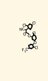 N#CC(C(=O)COc1cc(Oc2ccc(C(F)(F)F)cc2Cl)ccc1Cl)c1ccc(Cl)cc1Cl